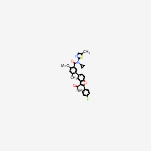 CNC(=O)c1c(-c2ccc(F)cc2)oc2ccc(-c3cc(C(=O)N(c4ncc(C)s4)C4CC4)c(OC)cc3C)cc12